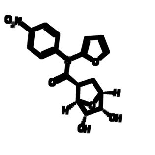 O=C([C@H]1C[C@@H]2O[C@H]1[C@@H](O)[C@H]2O)N(c1ccc([N+](=O)[O-])cc1)c1ccco1